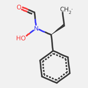 [CH2]C[C@@H](c1ccccc1)N(O)C=O